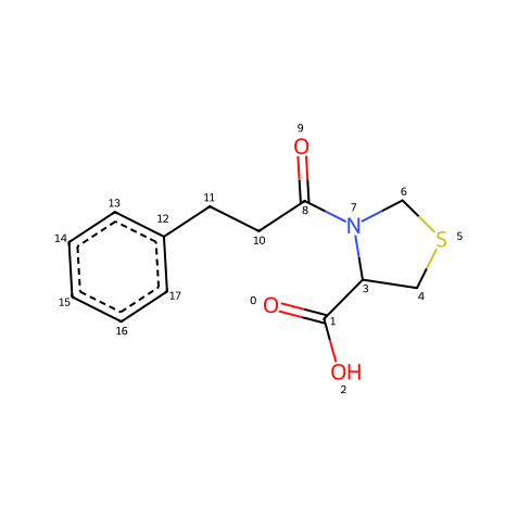 O=C(O)C1CSCN1C(=O)CCc1ccccc1